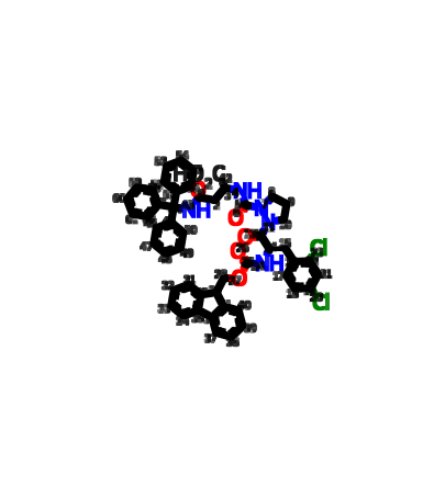 O=C(CC(NC(=O)N1CCCN1C(=O)[C@@H](Cc1ccc(Cl)cc1Cl)NC(=O)OCC1c2ccccc2-c2ccccc21)C(=O)O)NC(c1ccccc1)(c1ccccc1)c1ccccc1